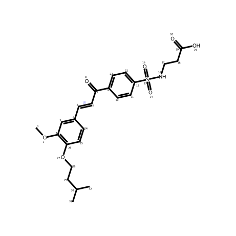 COc1cc(/C=C/C(=O)c2ccc(S(=O)(=O)NCCC(=O)O)cc2)ccc1OCCC(C)C